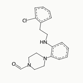 O=CN1CCN(c2ccccc2NCCc2ccccc2Cl)CC1